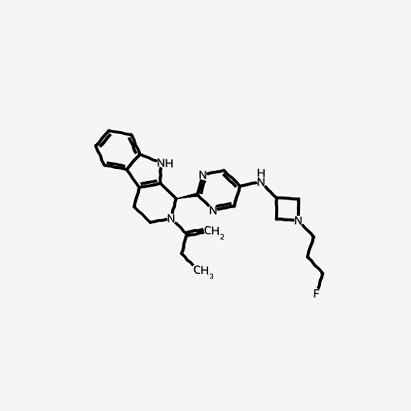 C=C(CC)N1CCc2c([nH]c3ccccc23)[C@H]1c1ncc(NC2CN(CCCF)C2)cn1